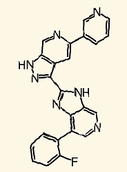 Fc1ccccc1-c1cncc2[nH]c(-c3n[nH]c4cnc(-c5cccnc5)cc34)nc12